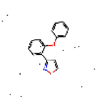 c1ccc(Oc2ccccc2-c2ccon2)cc1